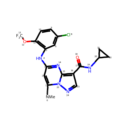 CNc1cc(Nc2cc(Cl)ccc2OC(F)(F)F)nc2c(C(=O)NC3CC3)cnn12